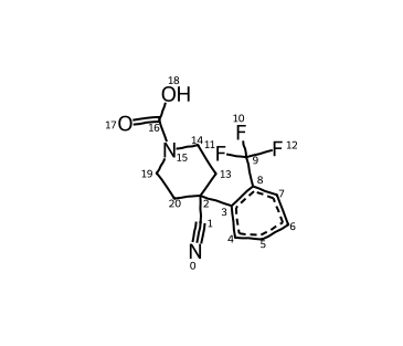 N#CC1(c2ccccc2C(F)(F)F)CCN(C(=O)O)CC1